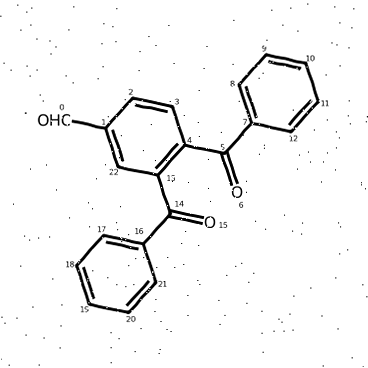 O=Cc1ccc(C(=O)c2ccccc2)c(C(=O)c2ccccc2)c1